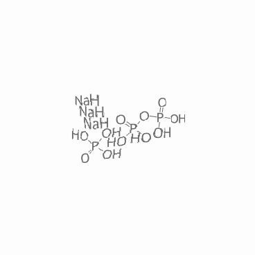 O=P(O)(O)O.O=P(O)(O)OP(=O)(O)O.[NaH].[NaH].[NaH]